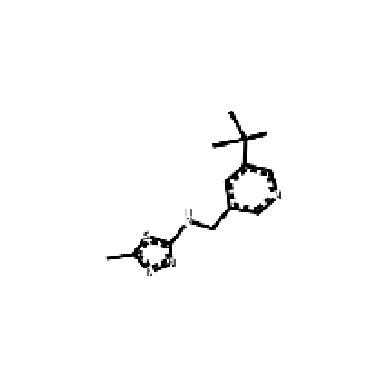 Cc1nnc(NCc2cncc(C(C)(C)C)c2)s1